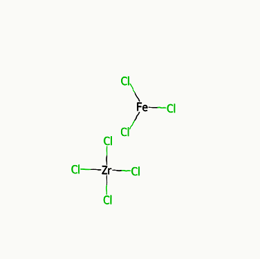 [Cl][Fe]([Cl])[Cl].[Cl][Zr]([Cl])([Cl])[Cl]